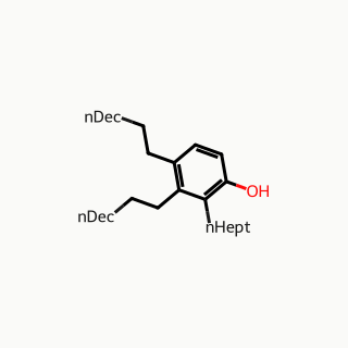 CCCCCCCCCCCCc1ccc(O)c(CCCCCCC)c1CCCCCCCCCCCC